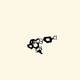 Cc1nc(C(=O)N2C(COc3ccc(Cl)cc3)CC3CC2C3)c(-c2ccccc2)s1